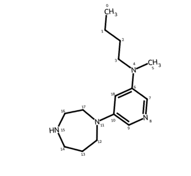 CCCCN(C)c1cncc(N2CCCNCC2)c1